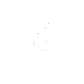 C[C@H]1C[C@H](n2cc(Cl)c3c(N)ncnc32)O[C@@H]1CO